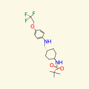 CC(C)(C)S(=O)(=O)N[C@H]1CC[C@H](CNc2ccc(OCC(F)(F)F)cc2)CC1